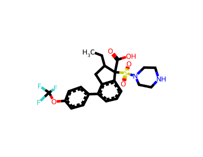 CCC1Cc2c(-c3ccc(OC(F)(F)F)cc3)cccc2C1(C(=O)O)S(=O)(=O)N1CCNCC1